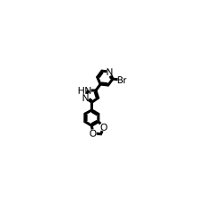 Brc1cc(-c2cc(-c3ccc4c(c3)OCO4)n[nH]2)ccn1